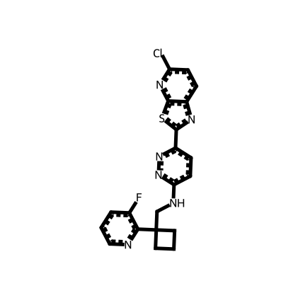 Fc1cccnc1C1(CNc2ccc(-c3nc4ccc(Cl)nc4s3)nn2)CCC1